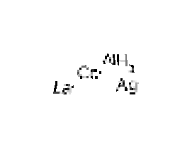 [Ag].[AlH3].[Co].[La]